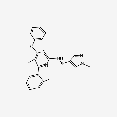 Cc1ccccc1-c1nc(NSc2cnn(C)c2)nc(Oc2ccccc2)c1C